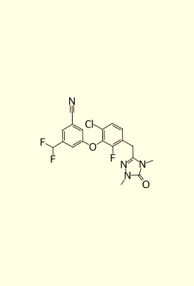 Cn1nc(Cc2ccc(Cl)c(Oc3cc(C#N)cc(C(F)F)c3)c2F)n(C)c1=O